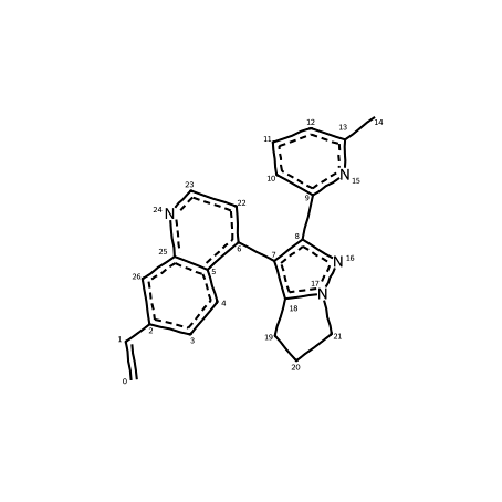 C=Cc1ccc2c(-c3c(-c4cccc(C)n4)nn4c3CCC4)ccnc2c1